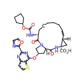 O=C(N[C@H]1CCCCCC=C[C@@H]2C[C@@]2(C(=O)O)NC(=O)[C@@H]2C[C@@H](Oc3nc(-c4ncco4)nc4ccsc34)CN2C1=O)OC1CCCC1